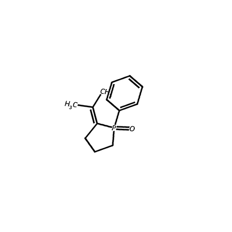 CC(C)=C1CCCP1(=O)c1ccccc1